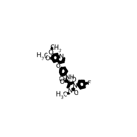 CCn1cc(C(=O)Nc2ccc(Oc3ccnc4cc(OC)c(OC)cc34)cc2C)c(=O)n(-c2ccc(F)cc2)c1=O